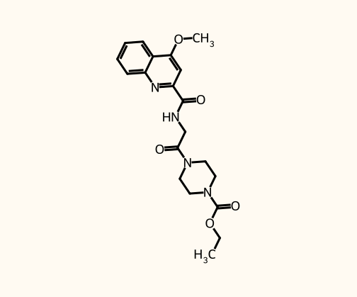 CCOC(=O)N1CCN(C(=O)CNC(=O)c2cc(OC)c3ccccc3n2)CC1